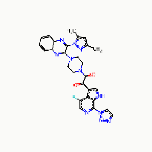 Cc1cc(C)n(C2=NC3C=CC=CC3N=C2N2CCN(C(=O)C(=O)c3c[nH]c4c(-n5ccnn5)ncc(F)c34)CC2)n1